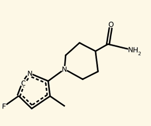 Cc1cc(F)cnc1N1CCC(C(N)=O)CC1